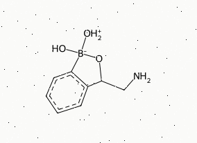 NCC1O[B-](O)([OH2+])c2ccccc21